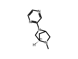 CN1CC2C[C@@H]1CN2c1cnccn1